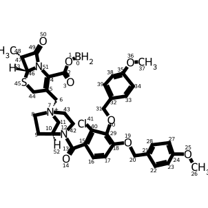 BOC(=O)C1=C(C[N@@+]23CC[C@@H](C2)N(C(=O)c2ccc(OCc4ccc(OC)cc4)c(OCc4ccc(OC)cc4)c2Cl)CC3)CS[C@@H]2[C@H](C)C(=O)N12